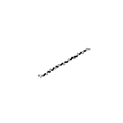 NCCOCCOCCOCCOCCOCCOCCOCCOCCOCCO